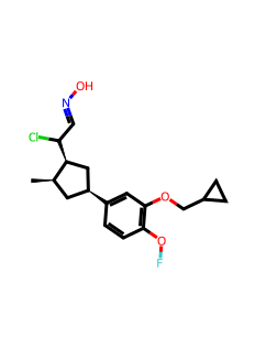 C[C@@H]1C[C@H](c2ccc(OF)c(OCC3CC3)c2)C[C@@H]1C(Cl)/C=N/O